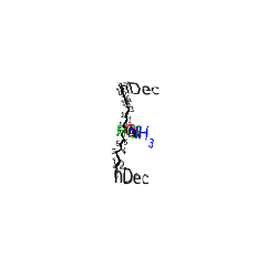 CCCCCCCCCCCCCCCCCC(=O)CCCCCCCCCCCCCCCCC.Cl.N